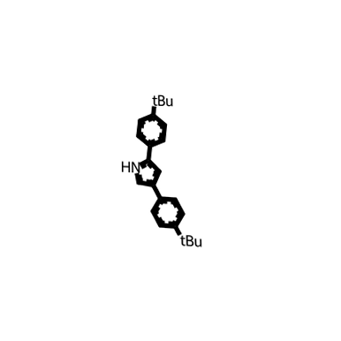 CC(C)(C)c1ccc(-c2c[nH]c(-c3ccc(C(C)(C)C)cc3)c2)cc1